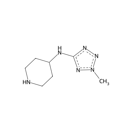 Cn1nnc(NC2CCNCC2)n1